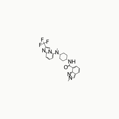 Cn1cc2cccc(C(=O)N[C@H]3CC[C@@H](N(C)c4cccc5nc(C(F)(F)F)cn45)CC3)c2n1